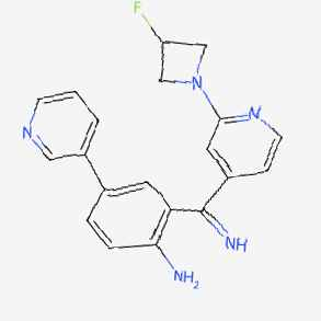 N=C(c1ccnc(N2CC(F)C2)c1)c1cc(-c2cccnc2)ccc1N